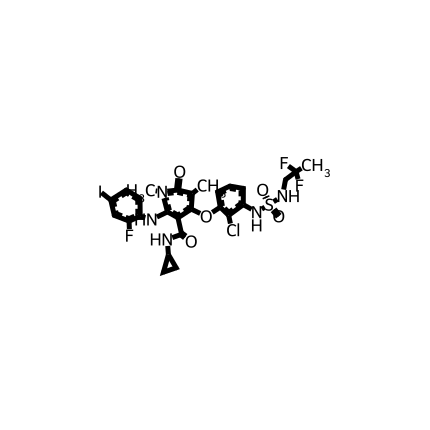 Cc1c(Oc2cccc(NS(=O)(=O)NCC(C)(F)F)c2Cl)c(C(=O)NC2CC2)c(Nc2ccc(I)cc2F)n(C)c1=O